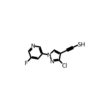 Fc1cncc(-n2cc(C#CS)c(Cl)n2)c1